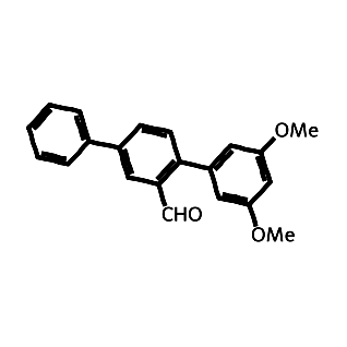 COc1cc(OC)cc(-c2ccc(-c3ccccc3)cc2C=O)c1